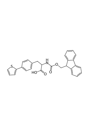 O=C(NC(Cc1ccc(-c2cccs2)cc1)C(=O)O)OCC1c2ccccc2-c2ccccc21